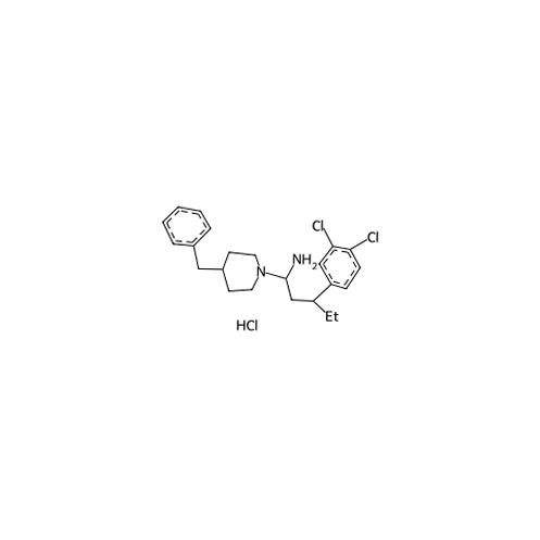 CCC(CC(N)N1CCC(Cc2ccccc2)CC1)c1ccc(Cl)c(Cl)c1.Cl